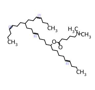 CCC/C=C\CCC(CC/C=C\CCC)CC/C=C/CCCC(CCCC/C=C/CCC)OC(=O)CCCCN(C)C